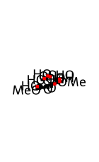 COc1cc(/C=C/C(=O)CC(=O)/C=C/c2ccc(O)c(OC)c2)ccc1O.O=CC(O)C(O)C(O)C(O)CO